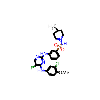 COc1ccc(Nc2nc(Nc3cccc(S(=O)(=O)NN4CCC(C)CC4)c3)ncc2F)cc1Cl